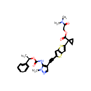 C[C@@H](OC(=O)Nc1c(C#Cc2cc3sc(C4(C(=O)OCC(=O)N(C)C)CC4)cc3s2)cnn1C)c1ccccc1